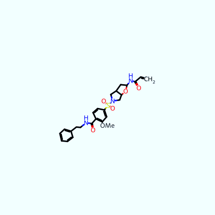 C=CC(=O)NC1CC2CN(S(=O)(=O)c3ccc(C(=O)NCCc4ccccc4)c(OC)c3)CC2O1